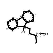 CC(C)NC(C)CCC1(O)c2ccccc2-c2ccccc21